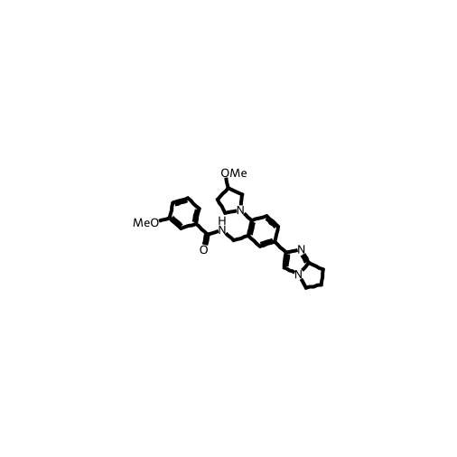 COc1cccc(C(=O)NCc2cc(-c3cn4c(n3)CCC4)ccc2N2CCC(OC)C2)c1